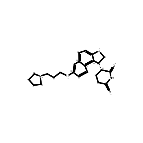 O=C1CC[C@H](C2COc3ccc4cc(OCCCN5CCCC5)ccc4c32)C(=O)N1